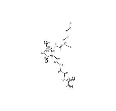 CCCCCC(C)=CC[C@H]1[C@H](O)CC(=O)[C@@H]1CCCCCCC(=O)O